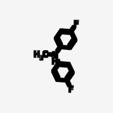 C[SiH](c1ccc(F)cc1)c1ccc(F)cc1